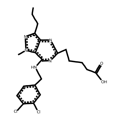 CCCc1nn(C)c2c(NCc3ccc(Cl)c(Cl)c3)nc(CCCCC(=O)O)nc12